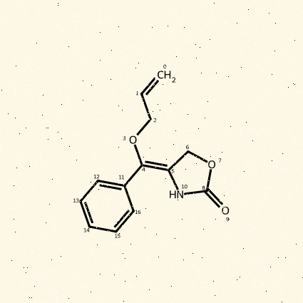 C=CCOC(=C1COC(=O)N1)c1ccccc1